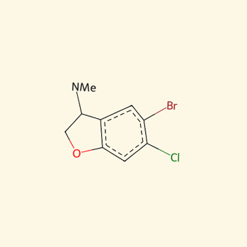 CNC1COc2cc(Cl)c(Br)cc21